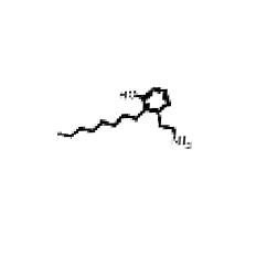 CCCCCCCCc1c(O)cccc1CCN